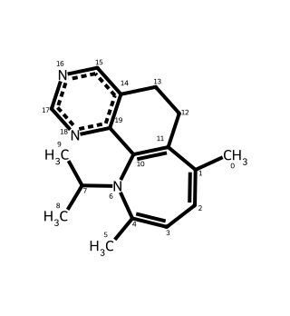 CC1=CC=C(C)N(C(C)C)C2=C1CCc1cncnc12